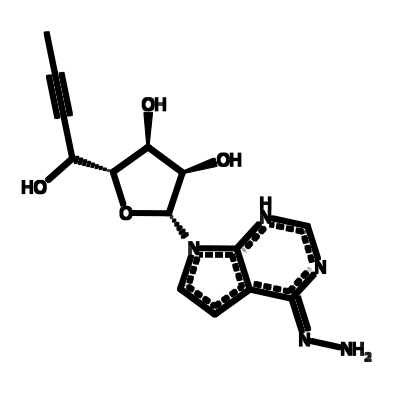 CC#CC(O)[C@H]1O[C@@H](n2ccc3c(=NN)nc[nH]c32)[C@H](O)[C@@H]1O